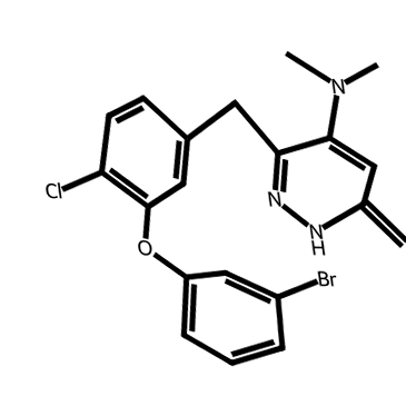 CN(C)c1cc(=O)[nH]nc1Cc1ccc(Cl)c(Oc2cccc(Br)c2)c1